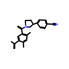 C=C(C)c1cc(C(=C)N2CCC(c3ccc(C#N)cc3)C2)c(C)cc1C